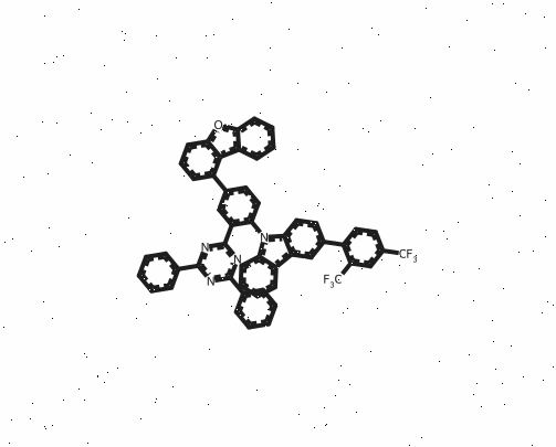 FC(F)(F)c1ccc(-c2ccc3c(c2)c2ccccc2n3-c2ccc(-c3cccc4oc5ccccc5c34)cc2-c2nc(-c3ccccc3)nc(-c3ccccc3)n2)c(C(F)(F)F)c1